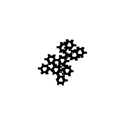 C1=CC(c2cc(-c3ccccc3)c3c4ccccc4c4cc(N(c5ccc6ccccc6n5)c5cccc6ccccc56)ccc4c3c2-c2ccccc2)=CCC1